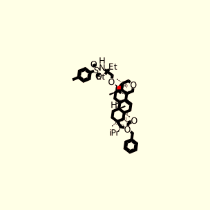 CCC(CC)(CO[C@H]1[C@H](C)C[C@@]23COC[C@@]1(C)[C@@H]2CC[C@H]1C3=CC[C@@]2(C)[C@H](C(=O)OCc3ccccc3)[C@@](C)([C@H](C)C(C)C)CC[C@]12C)NS(=O)(=O)c1ccc(C)cc1